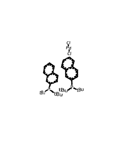 CC(C)(C)P(c1ccc2ccccc2c1)C(C)(C)C.CC(C)(C)P(c1ccc2ccccc2c1)C(C)(C)C.[Cl][Pd][Cl]